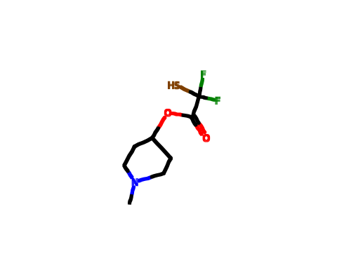 CN1CCC(OC(=O)C(F)(F)S)CC1